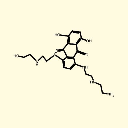 NCCNCCNc1ccc2c3c(nn2CCNCCO)-c2c(O)ccc(O)c2C(=O)c13